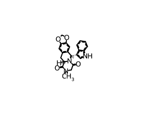 CN1CC(=O)N2[C@@H](c3c[nH]c4ccccc34)c3cc4c(cc3C[C@H]2C1=O)OCO4